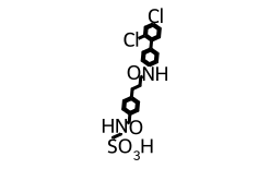 O=C(CCc1ccc(C(=O)NCCS(=O)(=O)O)cc1)Nc1ccc(-c2ccc(Cl)cc2Cl)cc1